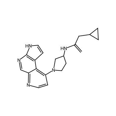 C=C(CC1CC1)NC1CCN(c2ccnc3cnc4[nH]ccc4c23)C1